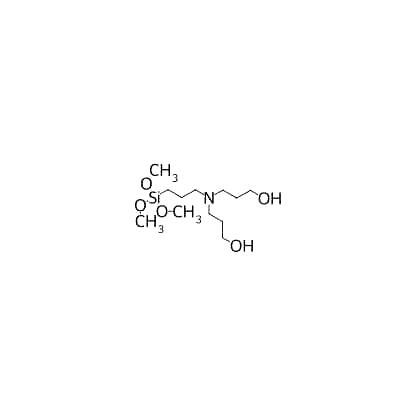 CO[Si](CCCN(CCCO)CCCO)(OC)OC